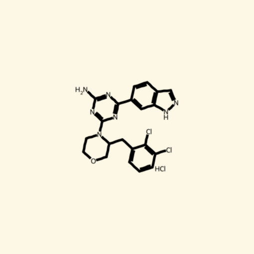 Cl.Nc1nc(-c2ccc3cn[nH]c3c2)nc(N2CCOCC2Cc2cccc(Cl)c2Cl)n1